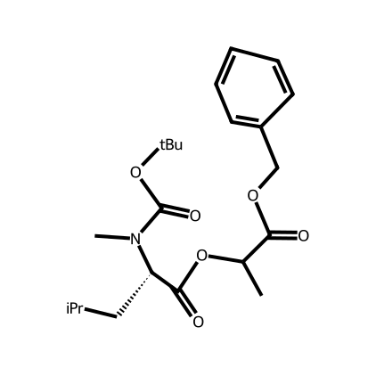 CC(C)C[C@@H](C(=O)OC(C)C(=O)OCc1ccccc1)N(C)C(=O)OC(C)(C)C